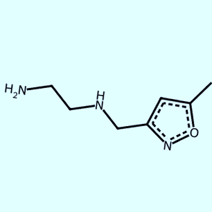 Cc1cc(CNCCN)no1